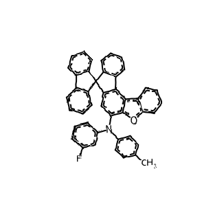 Cc1ccc(N(c2cccc(F)c2)c2cc3c(c4c2oc2ccccc24)-c2ccccc2C32c3ccccc3-c3ccccc32)cc1